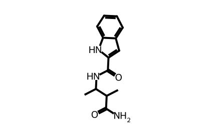 CC(NC(=O)c1cc2ccccc2[nH]1)C(C)C(N)=O